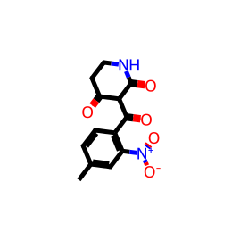 Cc1ccc(C(=O)C2C(=O)CCNC2=O)c([N+](=O)[O-])c1